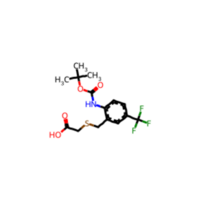 CC(C)(C)OC(=O)Nc1ccc(C(F)(F)F)cc1CSCC(=O)O